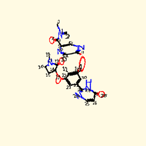 CN(C)C(=O)c1cnc(Oc2cc(OC3CCN(C)C3=O)cc(-c3nccc(=O)[nH]3)c2)cn1